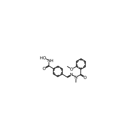 COc1ccccc1C(=O)N(C)/N=C/c1ccc(C(=O)NO)cc1